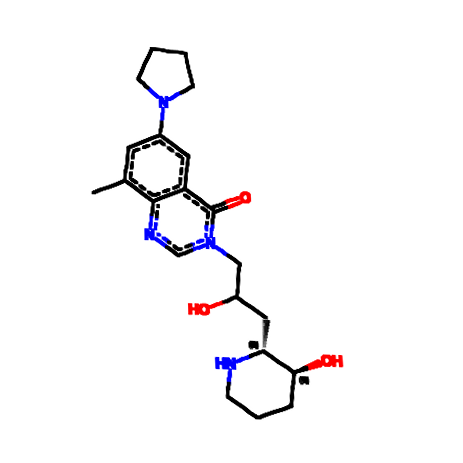 Cc1cc(N2CCCC2)cc2c(=O)n(CC(O)C[C@H]3NCCC[C@@H]3O)cnc12